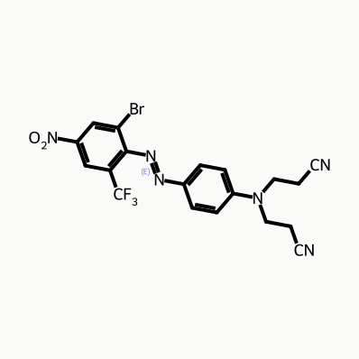 N#CCCN(CCC#N)c1ccc(/N=N/c2c(Br)cc([N+](=O)[O-])cc2C(F)(F)F)cc1